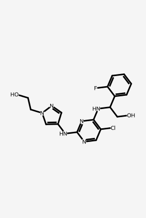 OCCn1cc(Nc2ncc(Cl)c(NC(CO)c3ccccc3F)n2)cn1